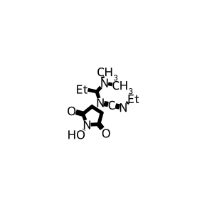 CCN=C=NC(CC)N(C)C.O=C1CCC(=O)N1O